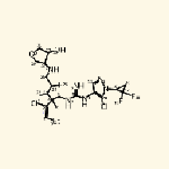 CC/C=C(/Cl)C(C)(CNC(=N)Nc1cnn(C2CC2(F)F)c1Cl)C(C)C(F)CNC1COCC1O